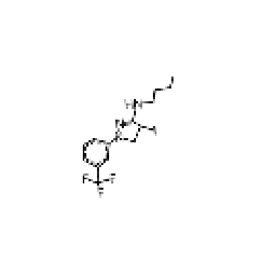 CCCCNC1=NN(c2cccc(C(F)(F)F)c2)CC1I